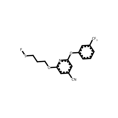 N#Cc1cc(OCCCSF)nc(Oc2cccc(C(F)(F)F)c2)c1